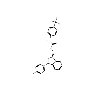 O=C(NN=C1CC(c2ccc(F)cc2)c2ccccc21)Nc1ccc(C(F)(F)F)cc1